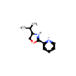 CC(C)C1COC(c2ccccn2)=N1